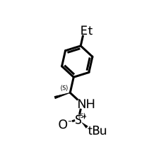 CCc1ccc([C@H](C)N[S@+]([O-])C(C)(C)C)cc1